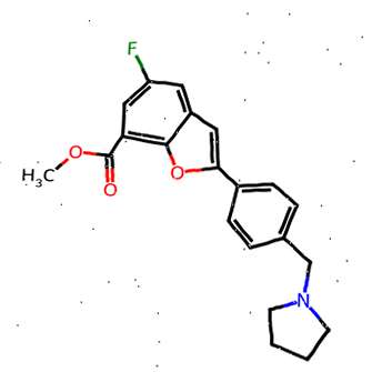 COC(=O)c1cc(F)cc2cc(-c3ccc(CN4CCCC4)cc3)oc12